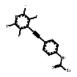 CCC(C)C(=O)Nc1ccc(C#Cc2c(F)c(F)nc(F)c2F)cc1